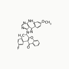 COc1ccc(-c2nn(C(C)c3oc4ccccc4c(=O)c3-c3cccc(F)c3)c3ncnc(N)c23)cc1